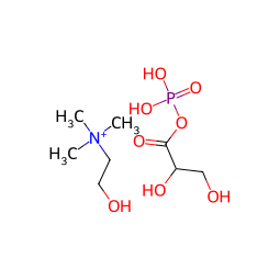 C[N+](C)(C)CCO.O=C(OP(=O)(O)O)C(O)CO